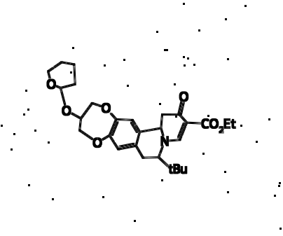 CCOC(=O)C1=CN2C(CC1=O)c1cc3c(cc1CC2C(C)(C)C)OCC(OC1CCCCO1)CO3